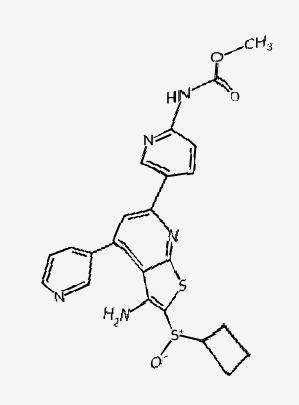 COC(=O)Nc1ccc(-c2cc(-c3cccnc3)c3c(N)c([S+]([O-])C4CCC4)sc3n2)cn1